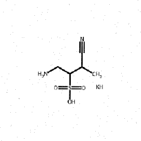 CC(C#N)C(CN)S(=O)(=O)O.[KH]